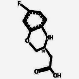 O=C(O)C[C@H]1COc2cc(F)ccc2N1